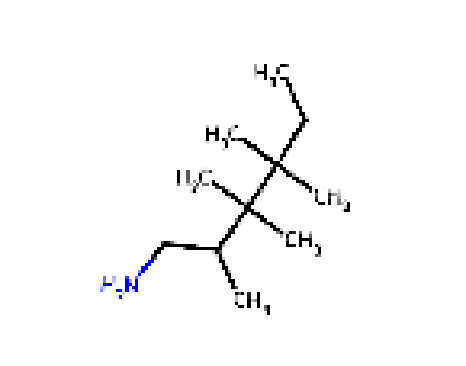 CCC(C)(C)C(C)(C)C(C)CN